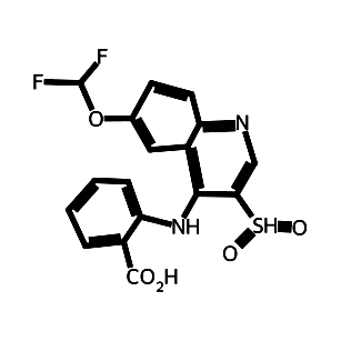 O=C(O)c1ccccc1Nc1c([SH](=O)=O)cnc2ccc(OC(F)F)cc12